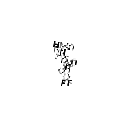 Cc1cnc(N[C@H]2CCOC2)nc1-c1cc2c(s1)C1(COC1)N(Cc1ccc(F)c(F)c1)C2=O